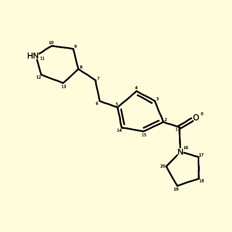 O=C(c1ccc(CCC2CCNCC2)cc1)N1CCCC1